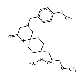 COCCC[C@]1(N(C)C)CC[C@@]2(CC1)CN(Cc1ccc(OC)cc1)CC(=O)N2